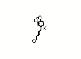 [K+].[O-]CCCCCc1ccc2c(c1)OCO2